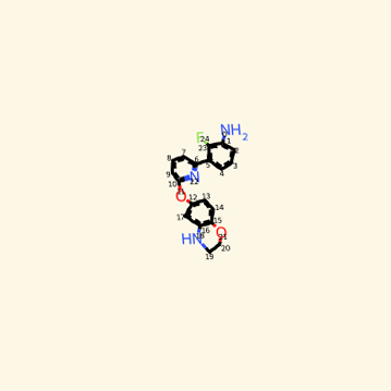 Nc1cccc(-c2cccc(Oc3ccc4c(c3)NCCO4)n2)c1F